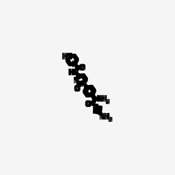 NC1CN(C(=O)C(N)c2ccc(-n3ccc(NC(=O)N4CCNCC4)nc3=O)cc2)C1